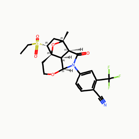 CCS(=O)(=O)[C@@H]1C[C@@]2(C)O[C@@]13CCO[C@H]1[C@@H]3[C@@H]2C(=O)N1c1ccc(C#N)c(C(F)(F)F)c1